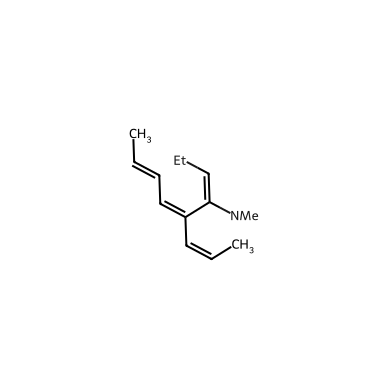 C\C=C/C(=C/C=C/C)C(=C\CC)/NC